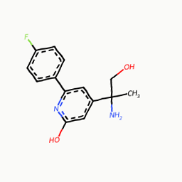 CC(N)(CO)c1cc(O)nc(-c2ccc(F)cc2)c1